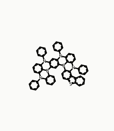 c1ccc(N2c3ccccc3B3c4cc5c(cc4N(c4ccccc4)c4cccc2c43)N(c2ccccc2)c2cccc3c2B5c2ccc4sc5ccccc5c4c2N3c2ccccc2)cc1